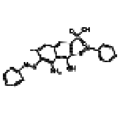 Cc1cc2cc(S(=O)(=O)O)c(/N=N/c3ccccc3)c(O)c2c(N)c1/N=N/c1ccccc1